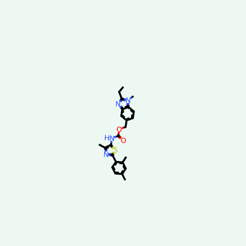 CCc1nc2cc(COC(=O)Nc3sc(-c4ccc(C)cc4C)nc3C)ccc2n1C